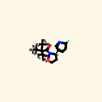 BC(B)(B)C(C(=O)N1OCC[C@H]1c1ccc(F)nc1)(C(B)(B)B)C(B)(B)B